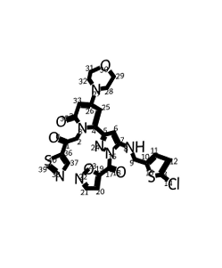 O=C(Cn1c(-c2cc(NCc3ccc(Cl)s3)n(C(=O)c3ccno3)n2)cc(N2CCOCC2)cc1=O)c1cncs1